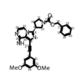 COc1cc(C#Cc2nc([C@H]3CCN(C(=O)OCc4ccccc4)C3)n3ccnc(N)c23)cc(OC)c1